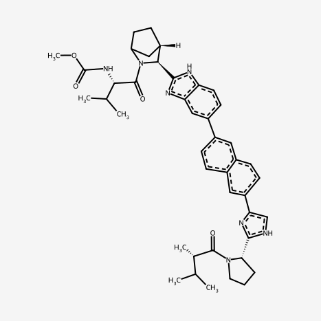 COC(=O)N[C@H](C(=O)N1C2CC[C@@H](C2)[C@H]1c1nc2cc(-c3ccc4cc(-c5c[nH]c([C@@H]6CCCN6C(=O)[C@@H](C)C(C)C)n5)ccc4c3)ccc2[nH]1)C(C)C